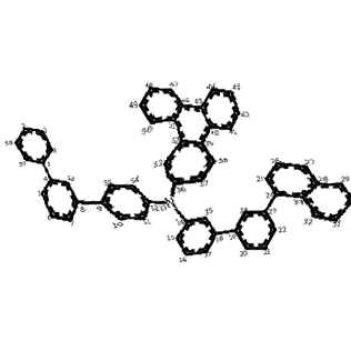 c1ccc(-c2cccc(-c3ccc(N(c4cccc(-c5cccc(-c6cccc7ccccc67)c5)c4)c4ccc5c6ccccc6c6ccccc6c5c4)cc3)c2)cc1